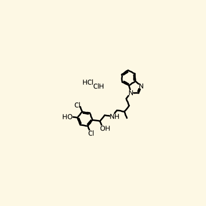 CC(CCn1cnc2ccccc21)CNCC(O)c1cc(Cl)c(O)cc1Cl.Cl.Cl